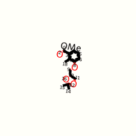 COC(=O)c1cccc(OCC2COC(C)(C)O2)c1C